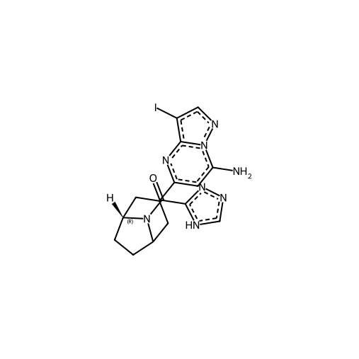 Nc1cc(C2CC3CC[C@H](C2)N3C(=O)c2nnc[nH]2)nc2c(I)cnn12